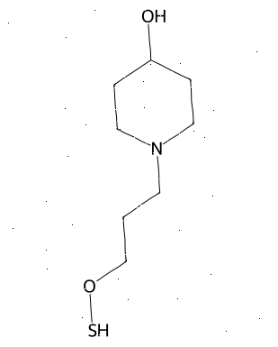 OC1CCN(CCCOS)CC1